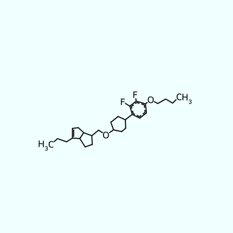 CCCCOc1ccc(C2CCC(OCC3CCC4C(CCC)=CCC34)CC2)c(F)c1F